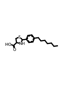 CCCCCCCc1ccc(C2NC(C(=O)O)CS2)cc1